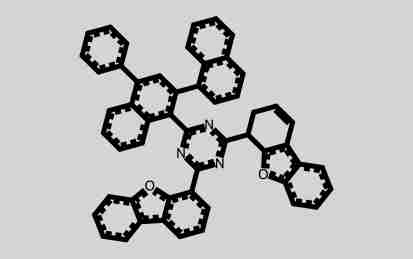 C1=Cc2c(oc3ccccc23)C(c2nc(-c3c(-c4cccc5ccccc45)cc(-c4ccccc4)c4ccccc34)nc(-c3cccc4c3oc3ccccc34)n2)C1